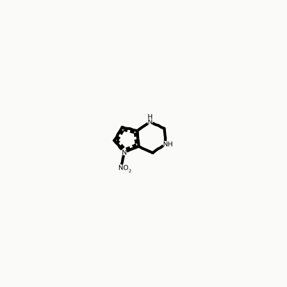 O=[N+]([O-])n1ccc2c1CNCN2